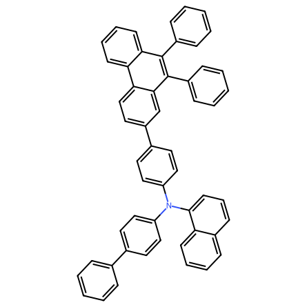 c1ccc(-c2ccc(N(c3ccc(-c4ccc5c(c4)c(-c4ccccc4)c(-c4ccccc4)c4ccccc45)cc3)c3cccc4ccccc34)cc2)cc1